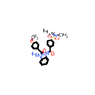 COc1ccc(C(=O)Nc2ccccc2NC(=O)c2ccc(S(=O)(=O)N(C)C)cc2)cc1